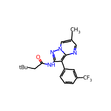 Cc1cnc2c(-c3cccc(C(F)(F)F)c3)c(NC(=O)CC(C)(C)C)nn2c1